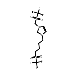 O=S(=O)(CCCCN1C=CN(CS(=O)(=O)C(F)(F)F)C1)C(F)(F)F